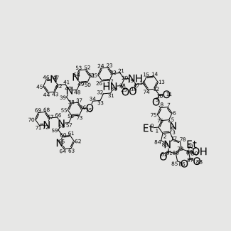 CCc1c2c(nc3ccc(OC(=O)c4cccc(C(=O)NC(Cc5ccccc5)C(=O)NCCCCOc5cc(CN(Cc6ccccn6)Cc6ccccn6)cc(CN(Cc6ccccn6)Cc6ccccn6)c5)c4)cc13)-c1cc3c(c(=O)n1C2)COC(=O)[C@@]3(O)CC